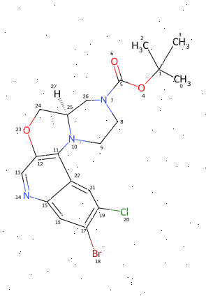 CC(C)(C)OC(=O)N1CCN2c3c(cnc4cc(Br)c(Cl)cc34)OC[C@H]2C1